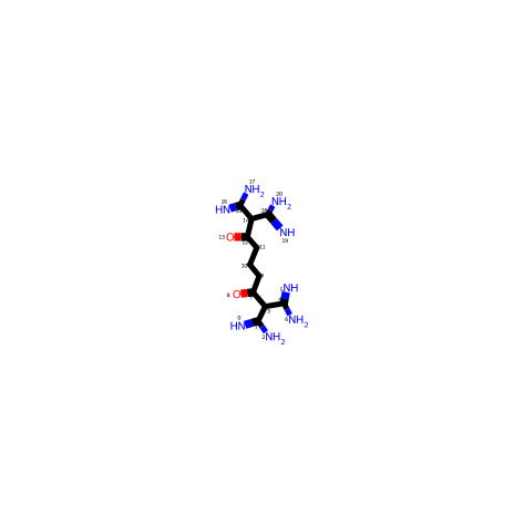 N=C(N)C(C(=N)N)C(=O)CCCC(=O)C(C(=N)N)C(=N)N